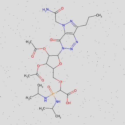 CCCc1nn(CC(N)=O)c2c(=O)n(C3OC(COC(C(=O)O)P(=O)(NC(C)C)NC(C)C)C(OC(C)=O)C3OC(C)=O)nnc12